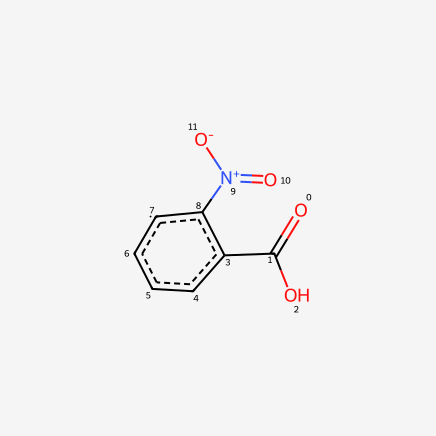 O=C(O)c1ccc[c]c1[N+](=O)[O-]